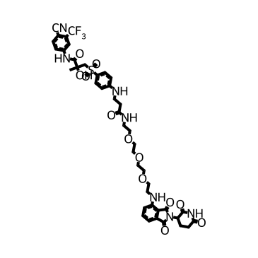 CC(O)(CS(=O)(=O)c1ccc(NCCC(=O)NCCOCCOCCOCCNc2cccc3c2C(=O)N(C2CCC(=O)NC2=O)C3=O)cc1)C(=O)Nc1ccc(C#N)c(C(F)(F)F)c1